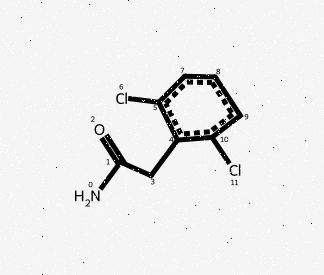 NC(=O)Cc1c(Cl)cccc1Cl